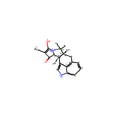 CC(=O)C1=C(O)N2[C@H](C1=O)[C@H]1c3c[nH]c4cccc(c34)C[C@H]1C2(C)C